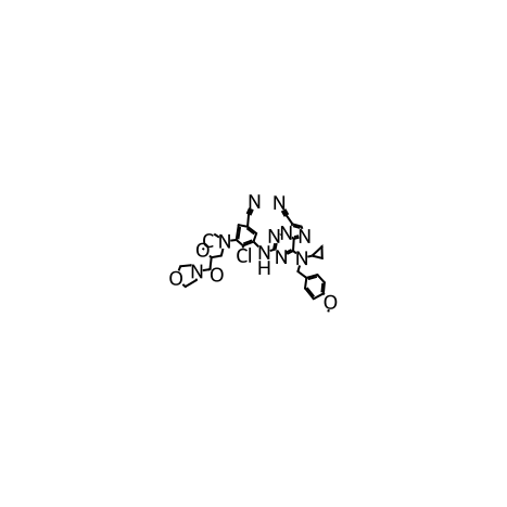 COc1ccc(CN(c2nc(Nc3cc(C#N)cc(N4CCOC(C(=O)N5CCOCC5)C4)c3Cl)nn3c(C#N)cnc23)C2CC2)cc1